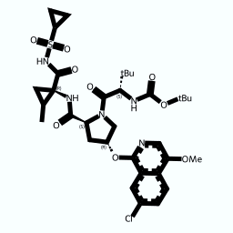 COc1cnc(O[C@@H]2C[C@@H](C(=O)N[C@]3(C(=O)NS(=O)(=O)C4CC4)CC3C)N(C(=O)[C@@H](NC(=O)OC(C)(C)C)C(C)(C)C)C2)c2cc(Cl)ccc12